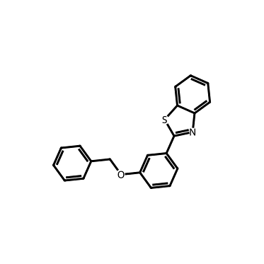 c1ccc(COc2cccc(-c3nc4ccccc4s3)c2)cc1